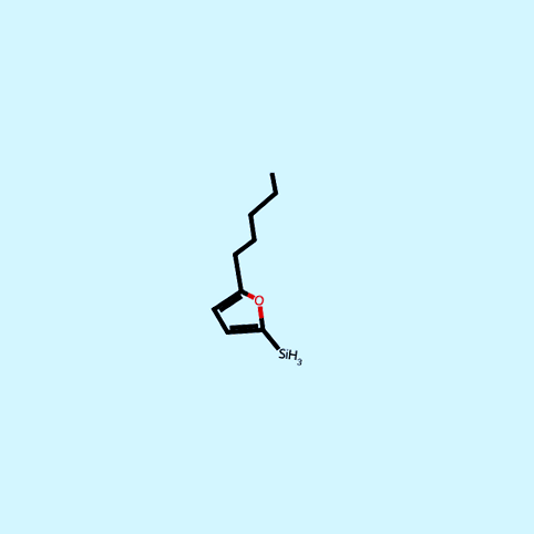 CCCCCc1ccc([SiH3])o1